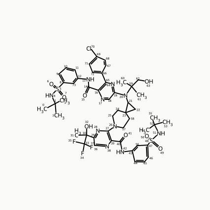 CC(C)(C)NS(=O)(=O)c1cccc(NC(=O)c2ncc(N(C3CC34CCN(c3nc(C(C)(O)C(F)(F)F)cnc3C(=O)Nc3cccc(S(=O)(=O)NC(C)(C)C)c3)CC4)C(C)(C)CO)nc2-c2ccc(Cl)cc2)c1